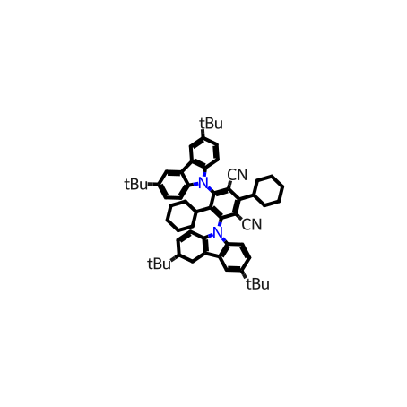 CC(C)(C)c1ccc2c(c1)c1c(n2-c2c(C#N)c(C3CCCCC3)c(C#N)c(-n3c4ccc(C(C)(C)C)cc4c4cc(C(C)(C)C)ccc43)c2C2CCCCC2)C=CC(C(C)(C)C)C1